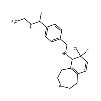 CC(NCC(F)(F)F)c1ccc(CNC2C3=C(C=CC2(Cl)Cl)CCNCC3)cc1